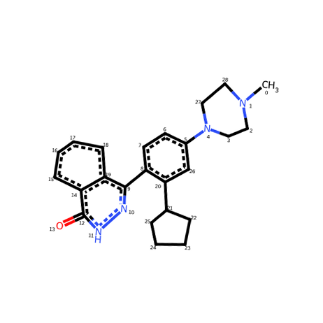 CN1CCN(c2[c]cc(-c3n[nH]c(=O)c4ccccc34)c(C3CCCC3)c2)CC1